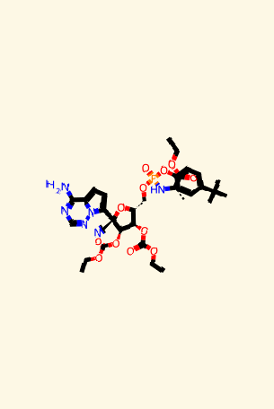 CCOC(=O)O[C@H]1[C@@H](OC(=O)OCC)[C@](C#N)(c2ccc3c(N)ncnn23)O[C@@H]1COP(=O)(N[C@@H](C)C(=O)OCC)Oc1ccc(C(C)(C)C)cc1